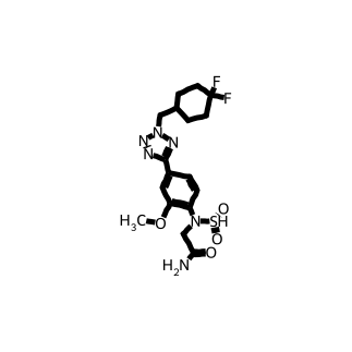 COc1cc(-c2nnn(CC3CCC(F)(F)CC3)n2)ccc1N(CC(N)=O)[SH](=O)=O